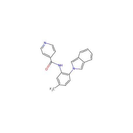 O=C(Nc1cc(C(F)(F)F)ccc1-n1cc2ccccc2c1)c1ccncc1